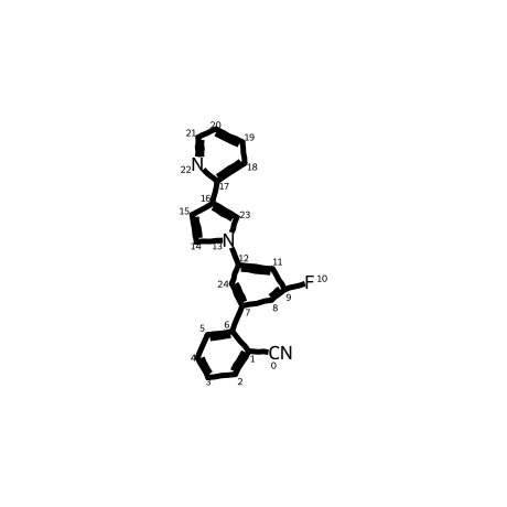 N#Cc1ccccc1-c1cc(F)cc(-n2ccc(-c3ccccn3)c2)c1